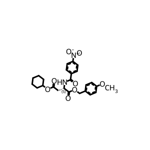 COc1ccc(COC(=O)[C@H](CC(=O)OC2CCCCC2)NC(=O)c2ccc([N+](=O)[O-])cc2)cc1